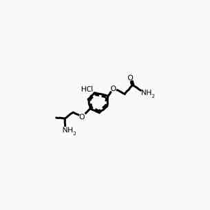 CC(N)COc1ccc(OCC(N)=O)cc1.Cl